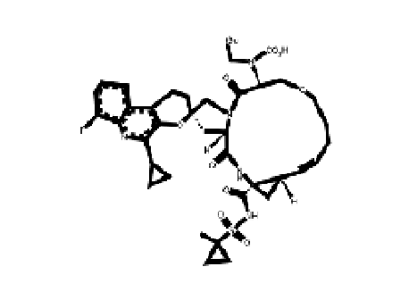 CC(C)(C)CN(C(=O)O)[C@H]1CCCCC/C=C\[C@@H]2C[C@@]2(C(=O)NS(=O)(=O)C2(C)CC2)NC(=O)[C@@H]2C[C@]3(CCc4c(c(C5CC5)nc5c(F)cccc45)O3)CN2C1=O